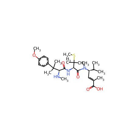 CN[C@H](C(=O)N[C@H](C(=O)N(C)[C@H](/C=C(\C)C(=O)O)C(C)C)C(C)(C)SC)C(C)(C)c1ccc(OC)cc1